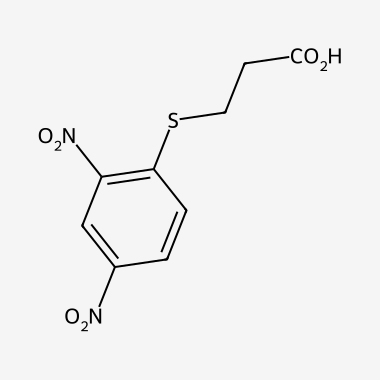 O=C(O)CCSc1ccc([N+](=O)[O-])cc1[N+](=O)[O-]